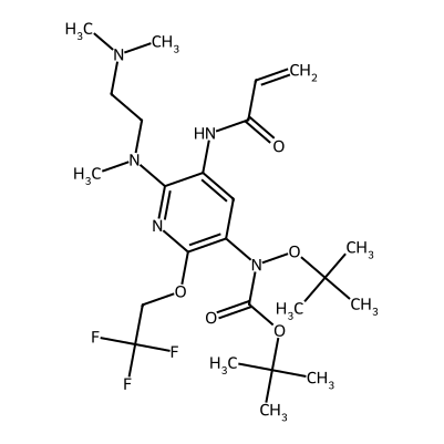 C=CC(=O)Nc1cc(N(OC(C)(C)C)C(=O)OC(C)(C)C)c(OCC(F)(F)F)nc1N(C)CCN(C)C